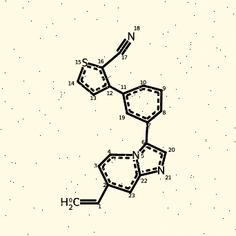 C=Cc1ccn2c(-c3cccc(-c4ccsc4C#N)c3)cnc2c1